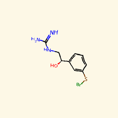 N=C(N)NC[C@H](O)c1cccc(SBr)c1